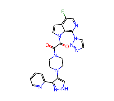 O=C(C(=O)n1ccc2c(F)cnc(-n3ccnn3)c21)N1CCN(c2c[nH]nc2-c2ccccn2)CC1